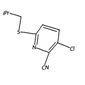 CC(C)CSc1ccc(Cl)c(C#N)n1